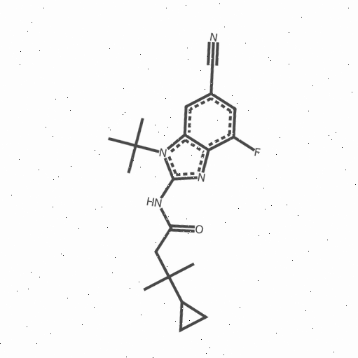 CC(C)(CC(=O)Nc1nc2c(F)cc(C#N)cc2n1C(C)(C)C)C1CC1